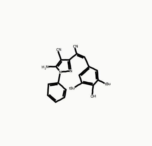 CC(C)(C)c1cc(C=C(C#N)c2nn(-c3ccccc3)c(N)c2C#N)cc(C(C)(C)C)c1O